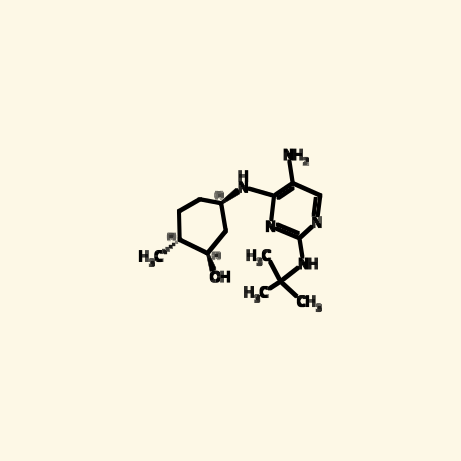 C[C@@H]1CC[C@@H](Nc2nc(NC(C)(C)C)ncc2N)C[C@H]1O